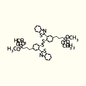 CO[Si](CCCc1ccc(SSc2ccc(CCC[Si](OC)(OC)OC)cc2-c2nc3ccccc3s2)c(-c2nc3ccccc3s2)c1)(OC)OC